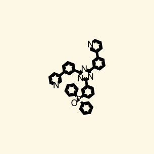 O=P(c1ccccc1)(c1ccccc1)c1cccc(-c2nc(-c3cccc(-c4cccnc4)c3)nc(-c3cccc(-c4cccnc4)c3)n2)c1